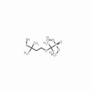 COP(=O)(OC)C(C)(C)OCCC(C)(C)SS